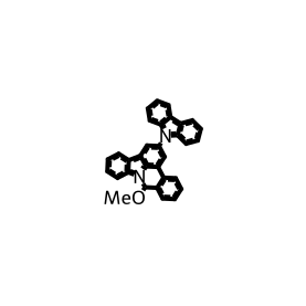 COC1c2ccccc2-c2cc(-n3c4ccccc4c4ccccc43)cc3c4ccccc4n1c23